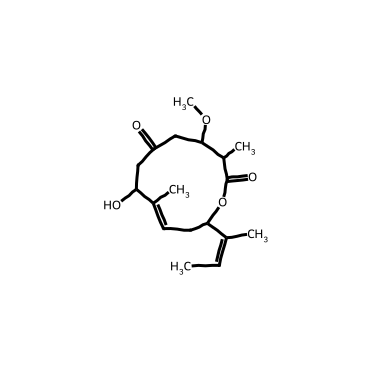 C/C=C(/C)C1C/C=C(\C)C(O)CC(=O)CC(OC)C(C)C(=O)O1